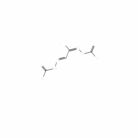 C/C(C=NNC(N)=O)=N/NC(N)=O